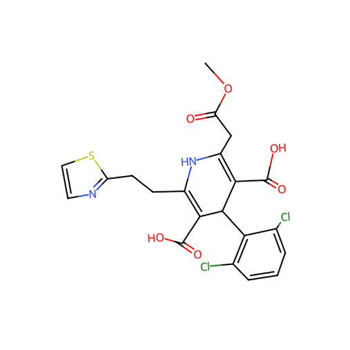 COC(=O)CC1=C(C(=O)O)C(c2c(Cl)cccc2Cl)C(C(=O)O)=C(CCc2nccs2)N1